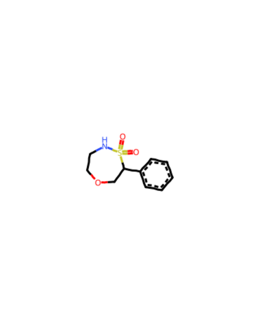 O=S1(=O)NCCOCC1c1ccccc1